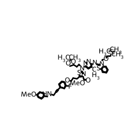 COC(=O)c1nc(N(CCC2COC(C)(C)O2)c2cc(C)c(/N=c3\sc4ccccc4n3COCC[Si](C)(C)C)nn2)sc1CCCOc1ccc(C#CCNCc2ccc(OC)cc2)cc1F